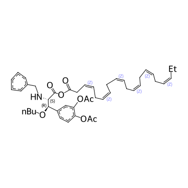 CC/C=C\C/C=C\C/C=C\C/C=C\C/C=C\C/C=C\CC(=O)OC(=O)[C@@H](NCc1ccccc1)[C@H](OCCCC)c1ccc(OC(C)=O)c(OC(C)=O)c1